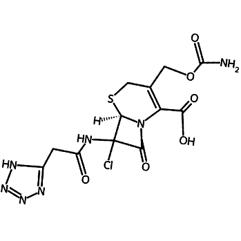 NC(=O)OCC1=C(C(=O)O)N2C(=O)C(Cl)(NC(=O)Cc3nnn[nH]3)[C@H]2SC1